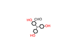 O=Cc1cc(C(c2ccc(O)cc2)c2ccc(O)cc2)ccc1O